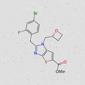 COC(=O)c1cc2c(nc(Cc3ccc(Br)cc3F)n2CC2CCO2)s1